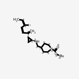 C=C(/C=C\C(I)=C/C)[C@H]1C[C@@H]1NCC1CCN(C(=O)OC(C)(C)C)CC1